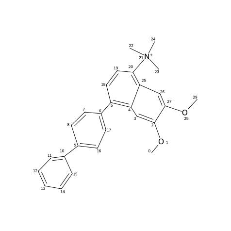 COc1cc2c(-c3ccc(-c4ccccc4)cc3)ccc([N+](C)(C)C)c2cc1OC